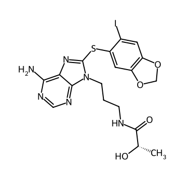 C[C@H](O)C(=O)NCCCn1c(Sc2cc3c(cc2I)OCO3)nc2c(N)ncnc21